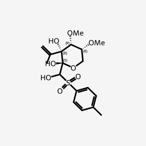 C=C(C)[C@@]1(O)[C@H](OC)[C@H](OC)CO[C@]1(O)C(O)S(=O)(=O)c1ccc(C)cc1